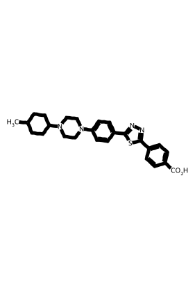 CC1CCC(N2CCN(c3ccc(-c4nnc(-c5ccc(C(=O)O)cc5)s4)cc3)CC2)CC1